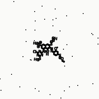 C=COOSc1ccc(N=Nc2c(SOOO)cc3cc(S(=O)(=O)O)cc(Nc4nc(Cl)nc(SO)n4)c3c2O)c(OC)c1